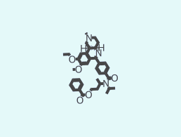 CCOc1cc2c(cc1OC)C(c1ccc(C(=O)N(C(C)C)C(C)CCOC(=O)c3ccccc3)cc1)=N[C@@H]1CCN(C)C[C@H]21